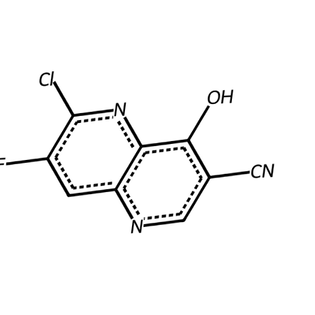 N#Cc1cnc2cc(F)c(Cl)nc2c1O